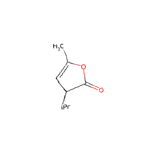 CC1=CC(C(C)C)C(=O)O1